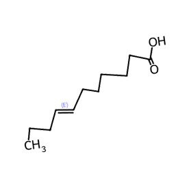 CCC/C=C/CCCCCC(=O)O